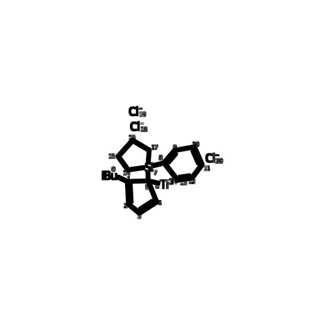 CCC(C)C1=CC=C[C]1([Ti+3])[Si]1(c2ccccc2)CCCC1.[Cl-].[Cl-].[Cl-]